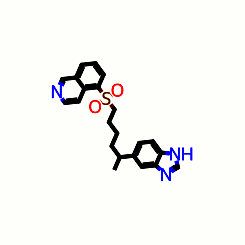 CC(CCCCS(=O)(=O)c1cccc2cnccc12)c1ccc2[nH]cnc2c1